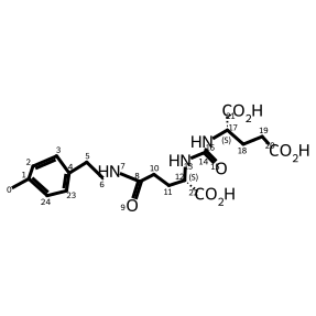 Cc1ccc(CCNC(=O)CC[C@H](NC(=O)N[C@@H](CCC(=O)O)C(=O)O)C(=O)O)cc1